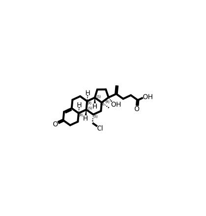 C=C(CCC(=O)O)[C@]1(O)CC[C@H]2[C@@H]3CCC4=CC(=O)CC[C@@H]4[C@H]3[C@@H](CCl)C[C@@]21C